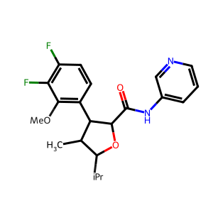 COc1c(C2C(C(=O)Nc3cccnc3)OC(C(C)C)C2C)ccc(F)c1F